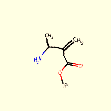 C=C(C(=O)OC(C)C)C(C)N